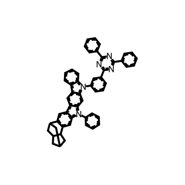 c1ccc(-c2nc(-c3ccccc3)nc(-c3cccc(-n4c5ccccc5c5cc6c7cc8c(cc7n(-c7ccccc7)c6cc54)C4CC5CC8CC4C5)c3)n2)cc1